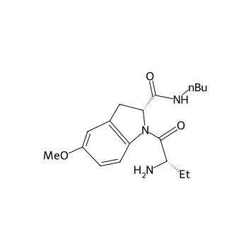 CCCCNC(=O)[C@H]1Cc2cc(OC)ccc2N1C(=O)[C@@H](N)CC